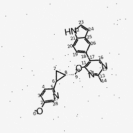 COc1ccc(C2C[C@@H]2COc2nc(C)ncc2-c2ccc3[nH]ccc3c2)nc1